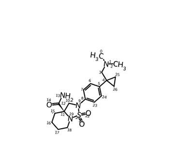 CN(C)CC1(c2ccc(N3C[C@@]4(C(N)=O)[CH]CCCN4S3(=O)=O)cc2)CC1